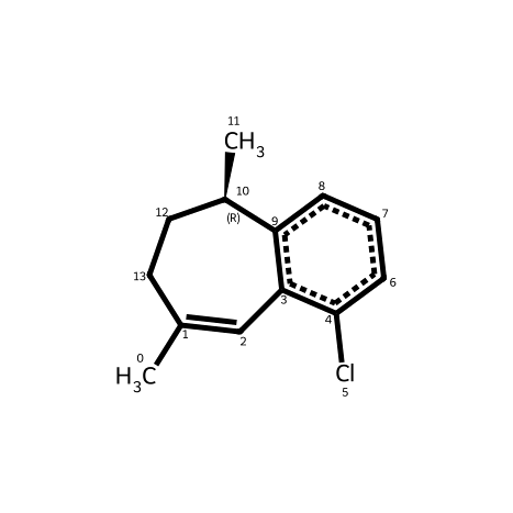 CC1=Cc2c(Cl)cccc2[C@H](C)CC1